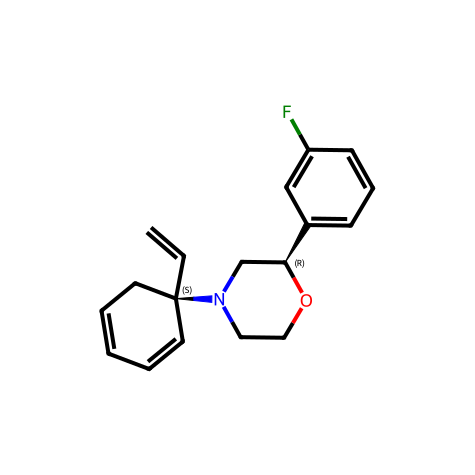 C=C[C@]1(N2CCO[C@H](c3cccc(F)c3)C2)C=CC=CC1